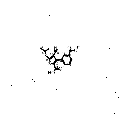 COC(=O)c1cccc(-c2c(C(=O)O)sc(SC(C)C)c2C#N)c1